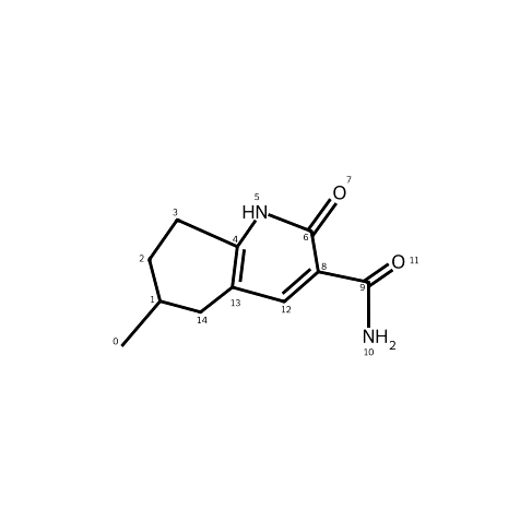 CC1CCc2[nH]c(=O)c(C(N)=O)cc2C1